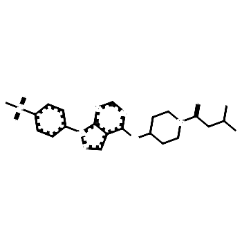 CC(C)CC(=O)N1CCC(Oc2ncnc3c2cnn3-c2ccc(S(C)(=O)=O)cc2)CC1